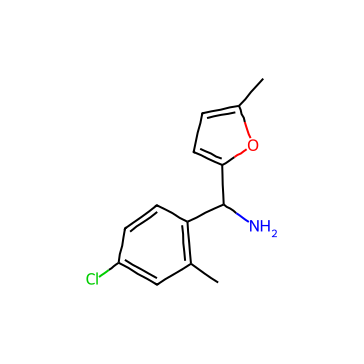 Cc1ccc(C(N)c2ccc(Cl)cc2C)o1